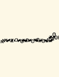 [N-]=[N+]=NCCOCCOCCOCCOCCOCCOCCOCCN1CCN(C(=O)O)CC1